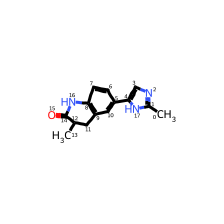 Cc1ncc(-c2ccc3c(c2)CC(C)C(=O)N3)[nH]1